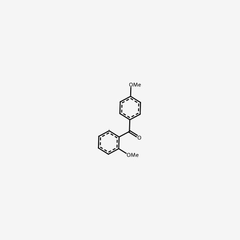 COc1ccc(C(=O)c2[c]cccc2OC)cc1